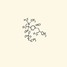 CCOC(=O)OC(=O)C(C)(c1ccc(CC(C)C)cc1)N(CC)CC.Cl